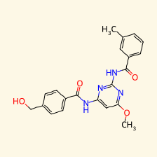 COc1cc(NC(=O)c2ccc(CO)cc2)nc(NC(=O)c2cccc(C)c2)n1